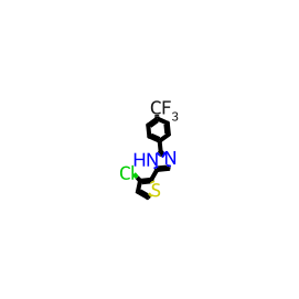 FC(F)(F)c1ccc(-c2ncc(-c3sccc3Cl)[nH]2)cc1